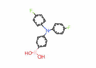 OB(O)c1ccc(N(c2ccc(F)cc2)c2ccc(F)cc2)cc1